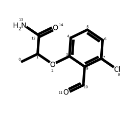 CC(Oc1cccc(Cl)c1C=O)C(N)=O